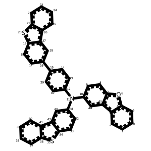 c1ccc2c(c1)oc1ccc(N(c3ccc(-c4ccc5sc6ccccc6c5c4)cc3)c3ccc4sc5ccccc5c4c3)cc12